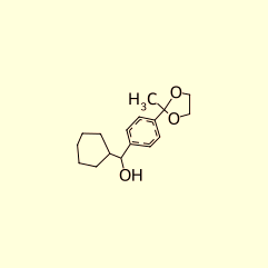 CC1(c2ccc(C(O)C3CCCCC3)cc2)OCCO1